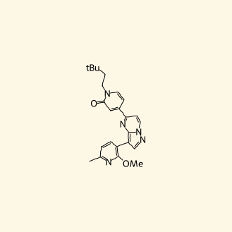 COc1nc(C)ccc1-c1cnn2ccc(-c3ccn(CCC(C)(C)C)c(=O)c3)nc12